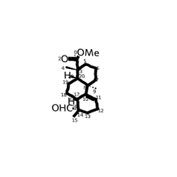 COC(=O)[C@]1(C)CCC[C@@]2(C)C3=CCC[C@](C)(C=O)[C@@H]3CC[C@H]12